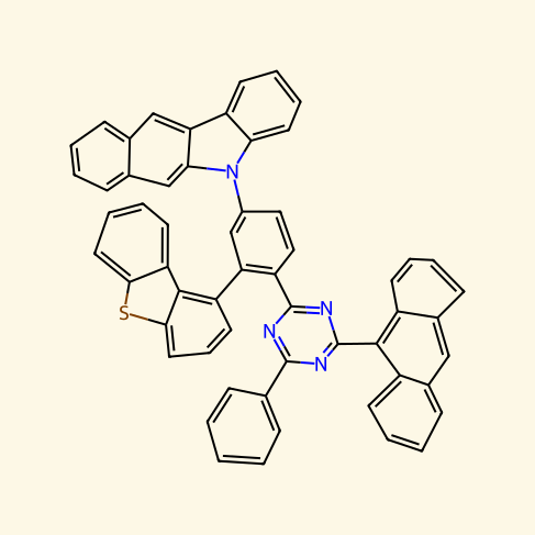 c1ccc(-c2nc(-c3ccc(-n4c5ccccc5c5cc6ccccc6cc54)cc3-c3cccc4sc5ccccc5c34)nc(-c3c4ccccc4cc4ccccc34)n2)cc1